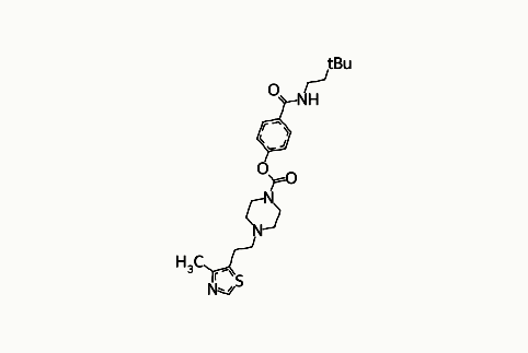 Cc1ncsc1CCN1CCN(C(=O)Oc2ccc(C(=O)NCCC(C)(C)C)cc2)CC1